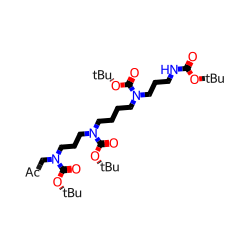 CC(=O)CN(CCCN(CCCCN(CCCNC(=O)OC(C)(C)C)C(=O)OC(C)(C)C)C(=O)OC(C)(C)C)C(=O)OC(C)(C)C